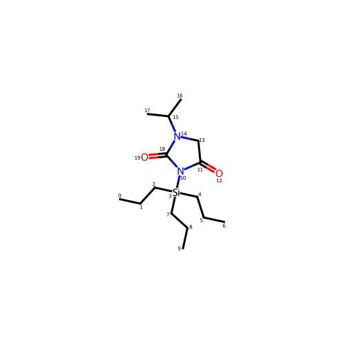 CCC[Si](CCC)(CCC)N1C(=O)CN(C(C)C)C1=O